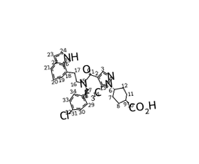 O=C(c1cnn([C@H]2CC[C@H](C(=O)O)CC2)c1C(F)(F)F)N(CCc1cccc2cc[nH]c12)Cc1ccc(Cl)cc1